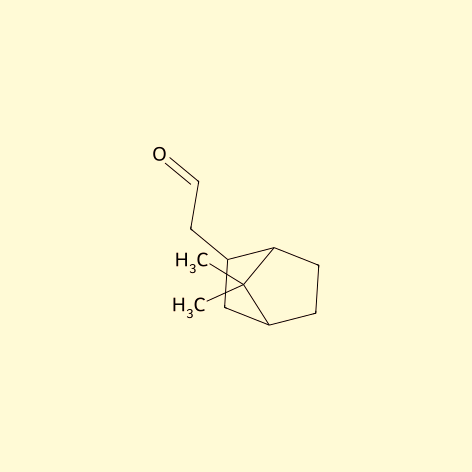 CC1(C)C2CCC1C(CC=O)C2